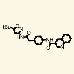 CC(C)(C)c1cc(NC(=O)Cc2ccc(NC(=O)c3cnc4ccccc4c3)cc2)no1